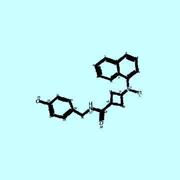 CCN(c1cccc2ccccc12)C1CC(C(=O)NCc2ccc(Cl)cc2)C1